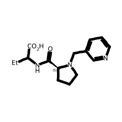 CCC(NC(=O)[C@@H]1CCCN1Cc1cccnc1)C(=O)O